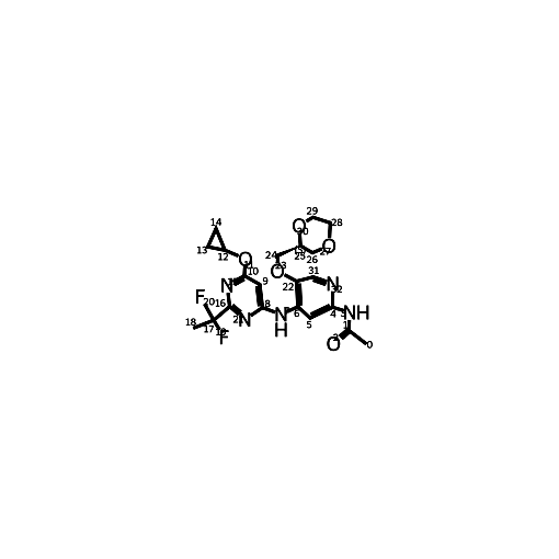 CC(=O)Nc1cc(Nc2cc(OC3CC3)nc(C(C)(F)F)n2)c(OC[C@@H]2COCCO2)cn1